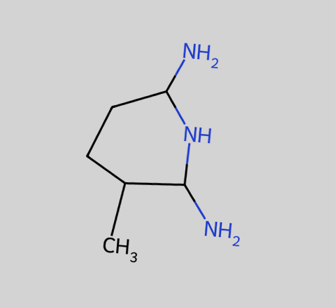 CC1CCC(N)NC1N